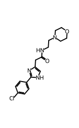 O=C(Cc1c[nH]c(-c2ccc(Cl)cc2)n1)NCCN1CCOCC1